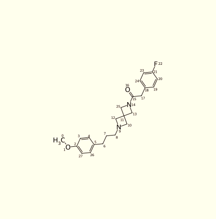 COc1ccc(CCCN2CC3(C2)CN(C(=O)Cc2ccc(F)cc2)C3)cc1